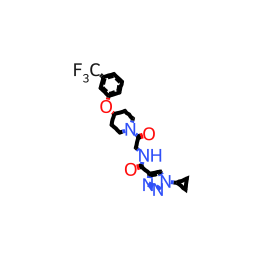 O=C(NCC(=O)N1CCC(Oc2cccc(C(F)(F)F)c2)CC1)c1cn(C2CC2)nn1